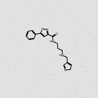 O=C(NCCCNCC1=CCN=C1)c1cc(-c2ccccc2)on1